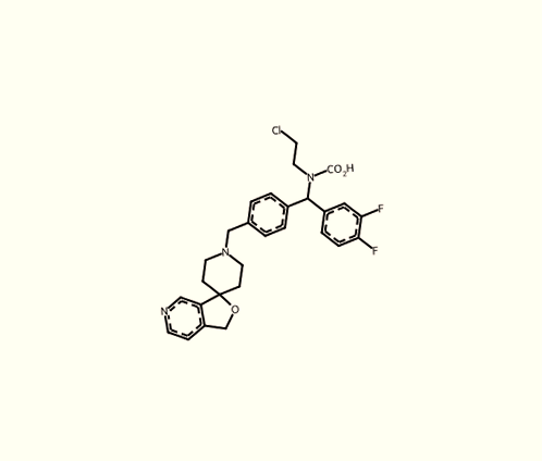 O=C(O)N(CCCl)C(c1ccc(CN2CCC3(CC2)OCc2ccncc23)cc1)c1ccc(F)c(F)c1